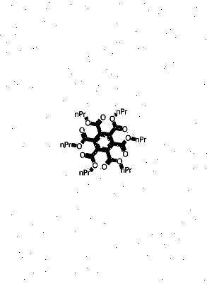 CCCOC(=O)c1c(C(=O)OCCC)c(C(=O)OCCC)c(C(=O)OCCC)c(C(=O)OCCC)c1C(=O)OCCC